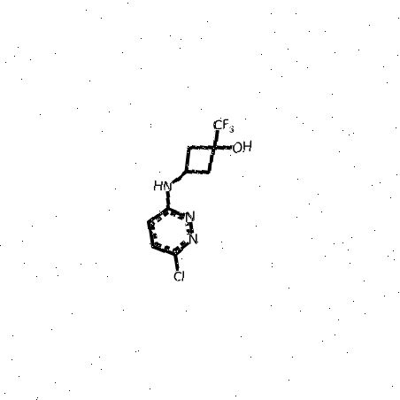 OC1(C(F)(F)F)CC(Nc2ccc(Cl)nn2)C1